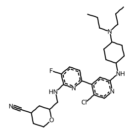 CCCN(CCC)C1CCC(Nc2cc(-c3ccc(F)c(NCC4CC(C#N)CCO4)n3)c(Cl)cn2)CC1